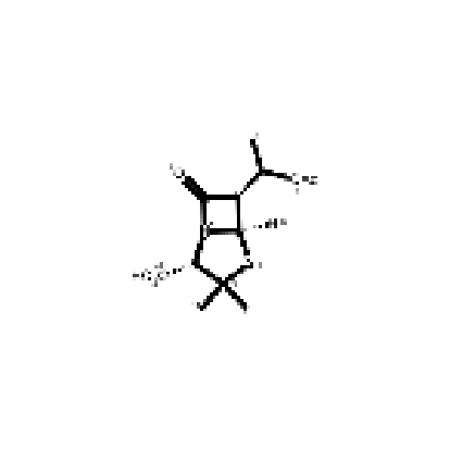 CC(=O)OC(C)[C@@H]1C(=O)N2[C@@H]1SC(C)(C)[C@@H]2C(=O)O